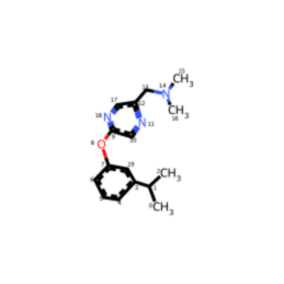 CC(C)c1cccc(Oc2cnc(CN(C)C)cn2)c1